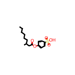 CCCCCCC(C)CC(=O)Oc1ccc(S(=O)(=O)O)cc1